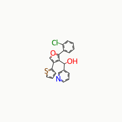 OC(c1cccnc1)c1c(-c2cccs2)coc1-c1ccccc1Cl